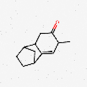 CC1C=C2C3CCC(C3)C2CC1=O